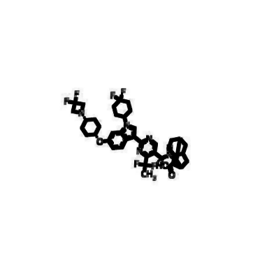 CC(F)(F)c1nc(-c2cn(C3CCC(F)(F)CC3)c3cc(O[C@H]4CC[C@@H](N5CC(F)(F)C5)CC4)ccc23)ncc1C(=O)NC1(C(=O)O)C2CCC3CC1CC3C2